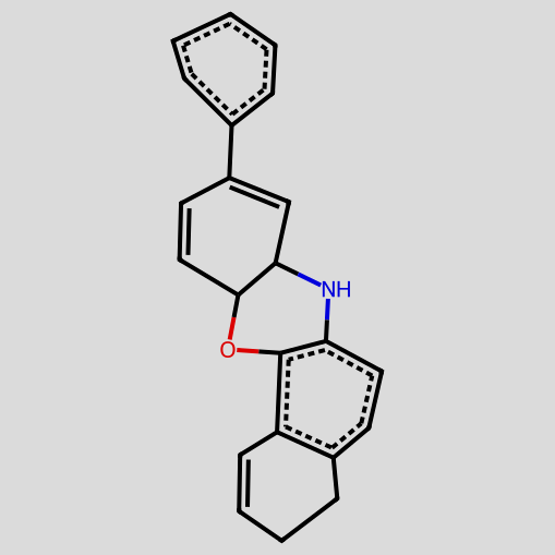 C1=Cc2c(ccc3c2OC2C=CC(c4ccccc4)=CC2N3)CC1